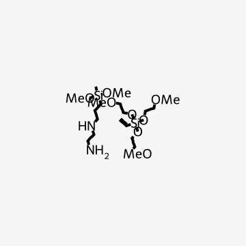 C=C[Si](OCCOC)(OCCOC)OCCOC.CO[Si](C)(CCCNCCN)OC